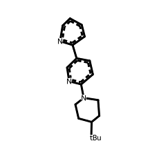 CC(C)(C)C1CCN(c2ccc(-c3ccccn3)cn2)CC1